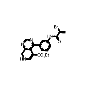 C=C(Br)C(=O)Nc1cccc(-c2ncnc3c2C(C(=O)OCC)=CNC3)c1